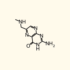 CNCc1cnc2nc(N)[nH]c(=O)c2n1